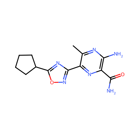 Cc1nc(N)c(C(N)=O)nc1-c1noc(C2CCCC2)n1